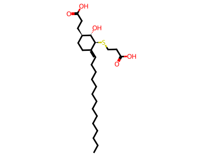 CCCCCCCCCCCCCC=C1CC[C@@H](CCC(=O)O)[C@H](O)[C@H]1SCCC(=O)O